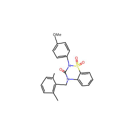 COc1ccc(N2C(=O)N(Cc3c(C)cccc3C)c3ccccc3S2(=O)=O)cc1